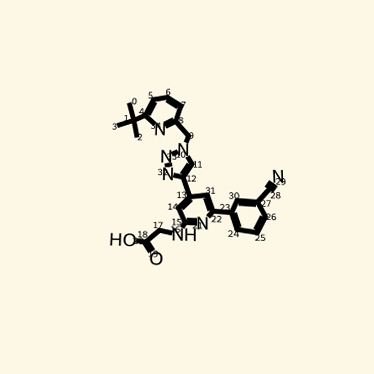 CC(C)(C)c1cccc(Cn2cc(-c3cc(NCC(=O)O)nc(-c4cccc(C#N)c4)c3)nn2)n1